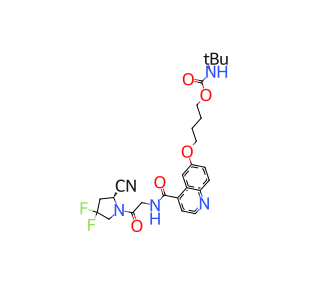 CC(C)(C)NC(=O)OCCCCOc1ccc2nccc(C(=O)NCC(=O)N3CC(F)(F)C[C@H]3C#N)c2c1